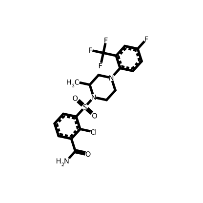 CC1CN(c2ccc(F)cc2C(F)(F)F)CCN1S(=O)(=O)c1cccc(C(N)=O)c1Cl